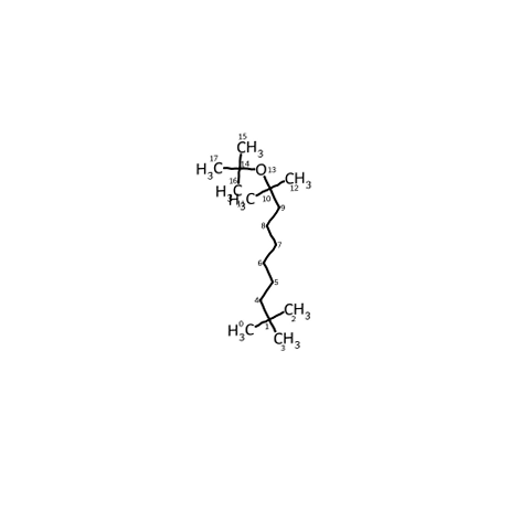 CC(C)(C)CCCCCCC(C)(C)OC(C)(C)C